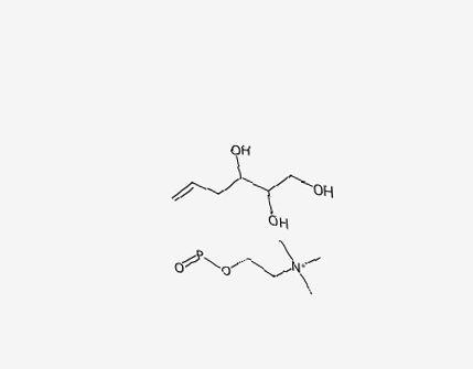 C=CCC(O)C(O)CO.C[N+](C)(C)CCOP=O